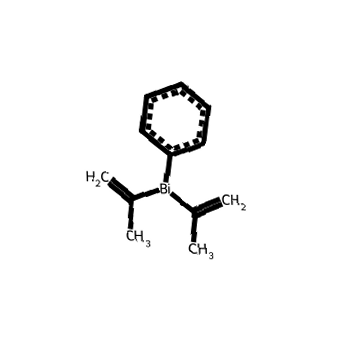 C=[C](C)[Bi]([C](=C)C)[c]1ccccc1